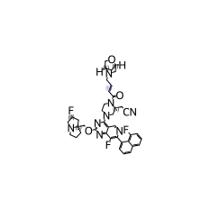 N#CC[C@H]1CN(c2nc(OC[C@@]34CCCN3C[C@H](F)C4)nc3c(F)c(-c4cccc5cccc(F)c45)ncc23)CCN1C(=O)/C=C/CN1C[C@@H]2C[C@H]1CO2